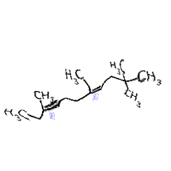 CC/C(C)=C/CC/C(C)=C/CC(C)(C)C